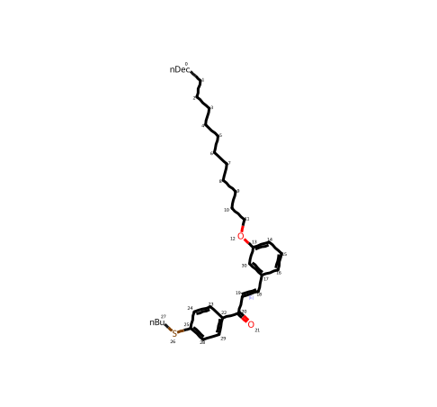 CCCCCCCCCCCCCCCCCCCCCOc1cccc(/C=C/C(=O)c2ccc(SCCCC)cc2)c1